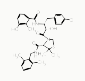 Cc1cccc(C)c1CNC(=O)[C@H]1N(C(=O)[C@@H](O)[C@H](Cc2ccc(Cl)cc2)NC(=O)c2cccc(O)c2C)CSC1(C)C